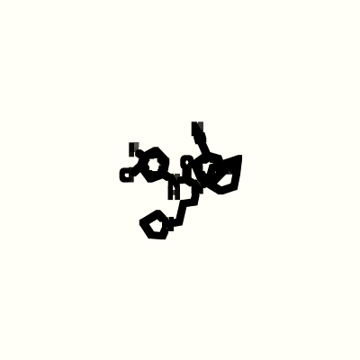 N#Cc1cccc([C@]23CC[C@@H](N(CCCN4CCCC4)C(=O)Nc4ccc(F)c(Cl)c4)CC2C3)c1